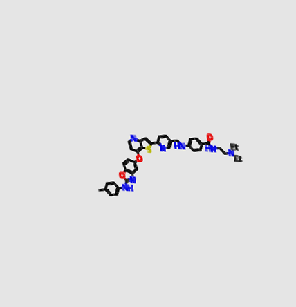 CCN(CC)CCNC(=O)c1ccc(NCc2ccc(-c3cc4nccc(Oc5ccc6oc(Nc7ccc(C)cc7)nc6c5)c4s3)nc2)cc1